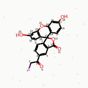 O=C(CI)c1ccc2c(c1)C(=O)OC21c2ccc(O)cc2Oc2cc(O)ccc21